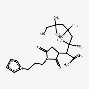 C=C(C)C(C1CC(=O)N(CCCn2cccc2)C1=O)C(C)(C)CC(C)(C)CC(C)(C)CC(C)(C)C